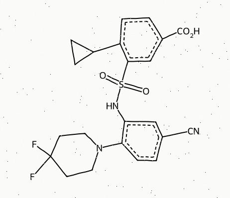 N#Cc1ccc(N2CCC(F)(F)CC2)c(NS(=O)(=O)c2cc(C(=O)O)ccc2C2CC2)c1